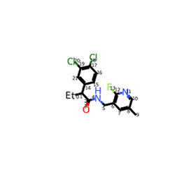 CCC(C(=O)NCc1cc(C)cnc1F)c1ccc(Cl)c(Cl)c1